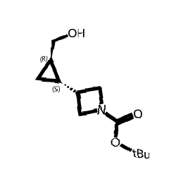 CC(C)(C)OC(=O)N1CC([C@@H]2C[C@H]2CO)C1